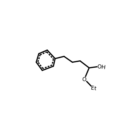 CCOC(O)CCCc1ccccc1